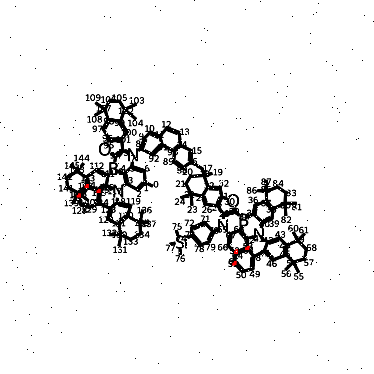 Cc1cc2c3c(c1)N(c1ccc4ccc5cc(CC6(C)CCC(C)(C)c7cc8c9c(oc8cc76)B6c7cc8c(cc7N(c7cc%10c(cc7-c7ccccc7)C(C)(C)CCC%10(C)C)c7cc(C)cc(c76)N9c6ccc([Si](C)(C)C)cc6)C(C)(C)CCC8(C)C)ccc5c4c1)c1c(oc4cc5c(cc14)C(C)(C)CCC5(C)C)B3c1cc3c(cc1N2c1cc2c(cc1-c1ccccc1)C(C)(C)CCC2(C)C)C(C)(C)CCC3(C)C